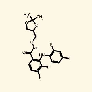 CC1(C)OCC(CONC(=O)c2ccc(F)c(F)c2Nc2ccc(I)cc2F)O1